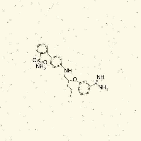 CCCC(CNc1ccc(-c2ccccc2S(N)(=O)=O)cc1)Oc1cccc(C(=N)N)c1